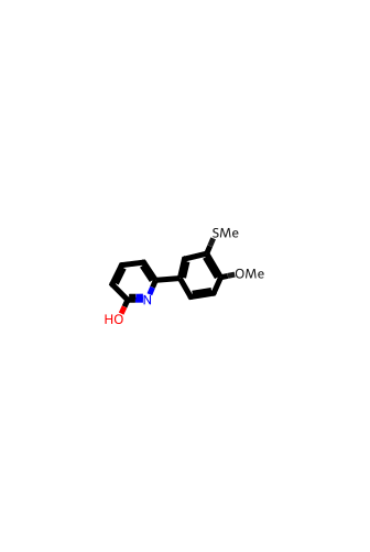 COc1ccc(-c2cccc(O)n2)cc1SC